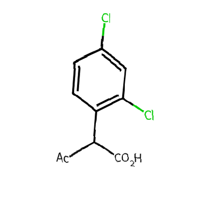 CC(=O)C(C(=O)O)c1ccc(Cl)cc1Cl